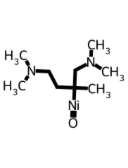 CN(C)CC[C](C)(CN(C)C)[Ni]=[O]